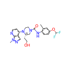 Cc1cc(OC(F)F)ccc1NC(=O)N1CCN(c2ccnc3c2cnn3C)[C@@H](CCO)C1